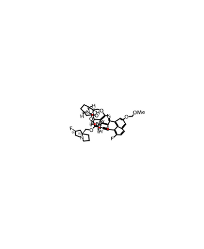 COCOc1cc(-c2nc3c4c(nc(OC[C@@]56CCCN5C[C@@H](F)C6)nc4c2F)N2C[C@@H]4CC[C@H]([C@H]2CO3)N4C(=O)OC(C)(C)C)c2c(C#C[Si](C(C)C)(C(C)C)C(C)C)c(F)ccc2c1